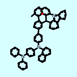 Cc1ccccc1-c1ccc(-c2ccc(N(c3ccc(N(c4ccccc4)c4ccccc4)cc3)c3cccc4ccccc34)cc2)cc1C1c2ccccc2-n2c3ccccc3c3cccc1c32